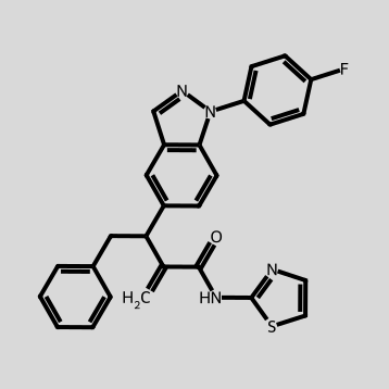 C=C(C(=O)Nc1nccs1)C(Cc1ccccc1)c1ccc2c(cnn2-c2ccc(F)cc2)c1